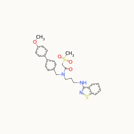 COc1ccc(-c2ccc(CN(CCCNc3nsc4ccccc34)C(=O)CS(C)(=O)=O)cc2)cc1